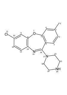 Cc1ccc2c(c1)Oc1cc(Cl)ccc1N=C2N1CCNCC1